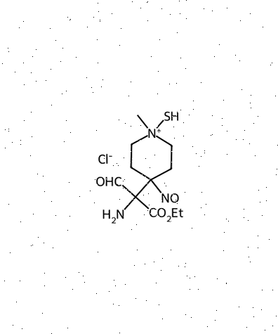 CCOC(=O)C(N)(C=O)C1(N=O)CC[N+](C)(S)CC1.[Cl-]